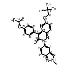 Cn1cc2cc(-n3nc4ccc(OCC(F)(F)F)nc4c(-c4ccc(OC(F)F)cc4)c3=O)ccc2n1